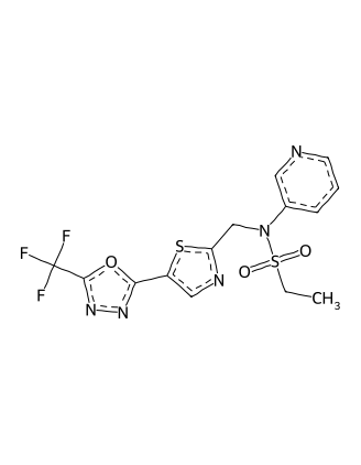 CCS(=O)(=O)N(Cc1ncc(-c2nnc(C(F)(F)F)o2)s1)c1cccnc1